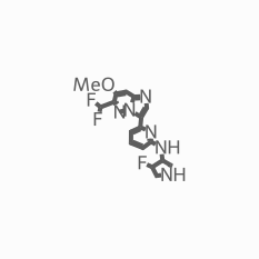 COc1cc2ncc(-c3cccc(NC4CNCC4F)n3)n2nc1C(F)F